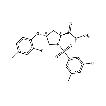 CNC(=O)[C@@H]1C[C@@H](Oc2ccc(I)cc2F)CN1S(=O)(=O)c1cc(Cl)cc(Cl)c1